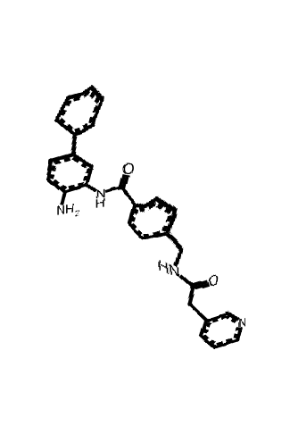 Nc1ccc(-c2ccccc2)cc1NC(=O)c1ccc(CNC(=O)Cc2cccnc2)cc1